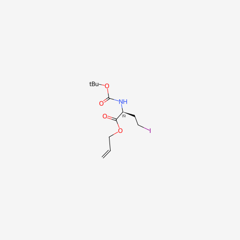 C=CCOC(=O)[C@H](CCI)NC(=O)OC(C)(C)C